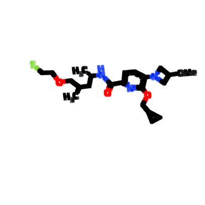 COC1CN(c2ccc(C(=O)N[C@@H](C)CC(C)COCCF)nc2OCC2CC2)C1